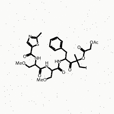 COCC(NC(=O)c1cnc(C)s1)C(=O)NC(COC)C(=O)NC(Cc1ccccc1)C(=O)C(C)(CI)OC(=O)COC(C)=O